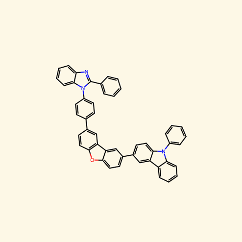 c1ccc(-c2nc3ccccc3n2-c2ccc(-c3ccc4oc5ccc(-c6ccc7c(c6)c6ccccc6n7-c6ccccc6)cc5c4c3)cc2)cc1